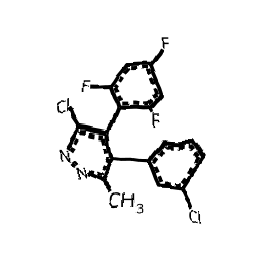 Cc1nnc(Cl)c(-c2c(F)cc(F)cc2F)c1-c1cccc(Cl)c1